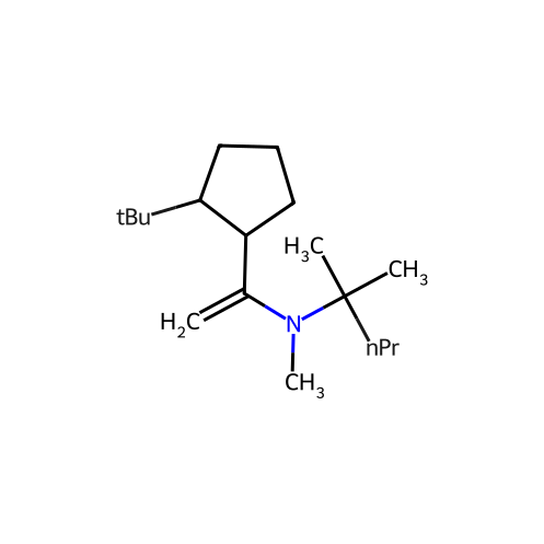 C=C(C1CCCC1C(C)(C)C)N(C)C(C)(C)CCC